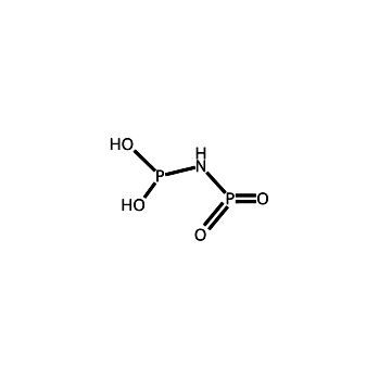 O=P(=O)NP(O)O